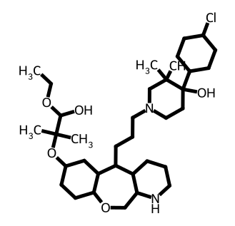 CCOC(O)C(C)(C)OC1CCC2OCC3NCCCC3C(CCCN3CCC(O)(C4CCC(Cl)CC4)C(C)(C)C3)C2C1